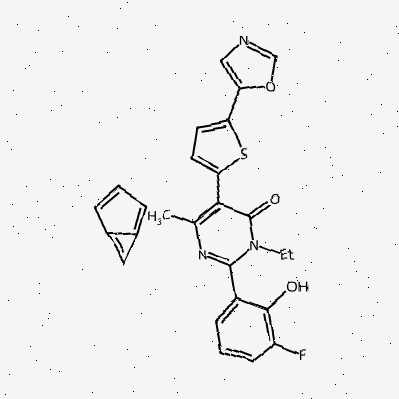 CCn1c(-c2cccc(F)c2O)nc(C)c(-c2ccc(-c3cnco3)s2)c1=O.c1cc2cc-2c1